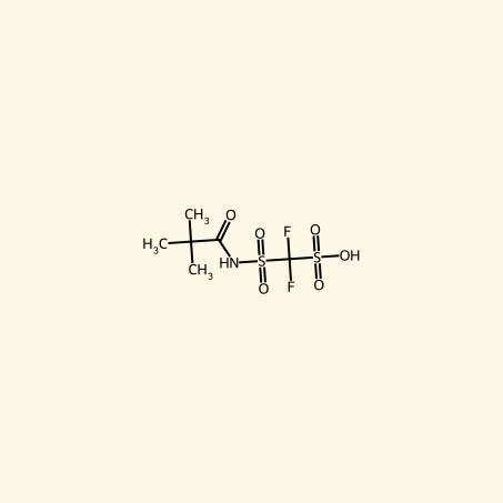 CC(C)(C)C(=O)NS(=O)(=O)C(F)(F)S(=O)(=O)O